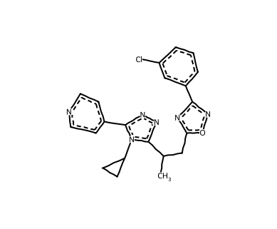 CC(Cc1nc(-c2cccc(Cl)c2)no1)c1nnc(-c2ccncc2)n1C1CC1